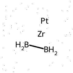 BB.[Pt].[Zr]